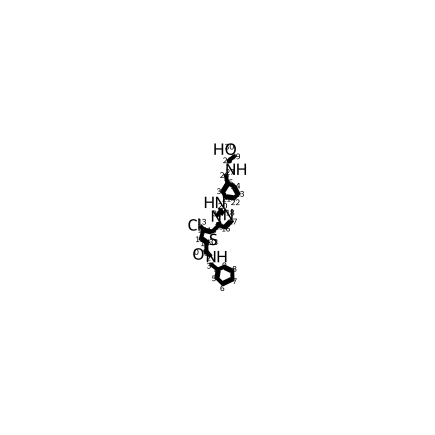 O=C(NCc1ccccc1)c1cc(Cl)c(-c2ccnc(Nc3cccc(CNCCO)c3)n2)s1